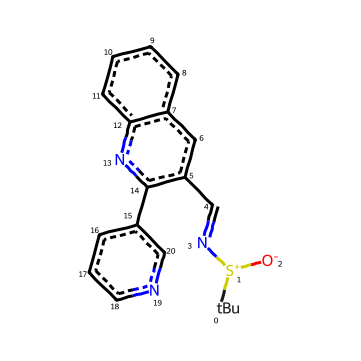 CC(C)(C)[S+]([O-])/N=C/c1cc2ccccc2nc1-c1cccnc1